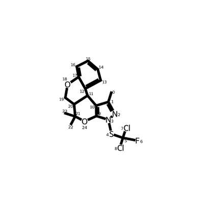 Cc1nn(SC(F)(Cl)Cl)c2c1C1c3ccccc3OCC1C(C)(C)O2